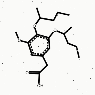 CCCC(C)Oc1cc(CC(=O)O)cc(OC)c1OC(C)CCC